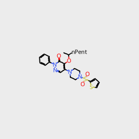 CCCCCC(C)Oc1c(N2CCN(S(=O)(=O)c3cccs3)CC2)cnn(-c2ccccc2)c1=O